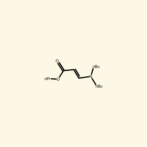 CCCCN(C=CC(=O)OCCC)CCCC